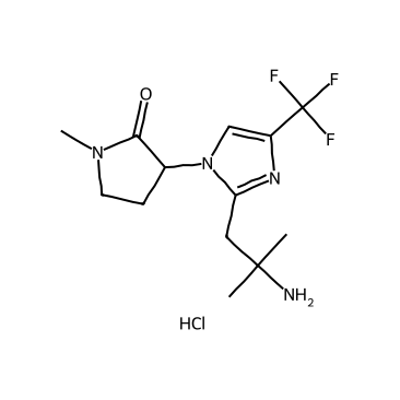 CN1CCC(n2cc(C(F)(F)F)nc2CC(C)(C)N)C1=O.Cl